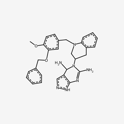 COc1ccc(CN2CC(N3C(N)=Nc4[nH]ncc4C3N)Cc3ccccc32)cc1OCc1ccccc1